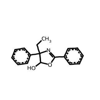 CCC1(c2ccccc2)N=C(c2ccccc2)OC1O